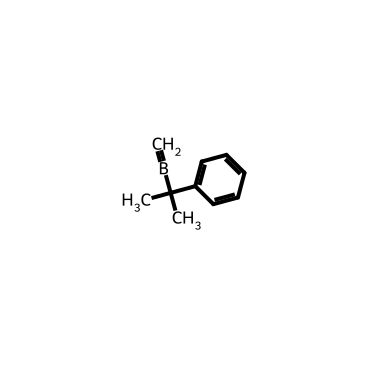 C=BC(C)(C)c1ccccc1